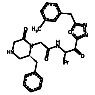 Cc1cccc(Cc2nnc(C(=O)[C@H](NC(=O)CN3C(=O)CNC[C@H]3Cc3ccccc3)C(C)C)o2)c1